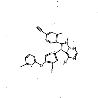 C#Cc1cc(C)c(-c2c(-c3ccc(Oc4cccc(C)n4)c(F)c3)c3c(N)ncnc3n2C)cn1